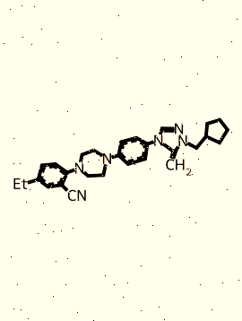 C=C1N(CC2CCCC2)N=CN1c1ccc(N2CCN(c3ccc(CC)cc3C#N)CC2)cc1